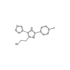 N#CCCc1nc(-c2ccc(F)cc2)[nH]c1-c1ccsc1